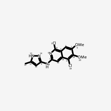 COc1cc2c(Cl)nc(Nc3cc(C)[nH]n3)cc2c(Cl)c1OC